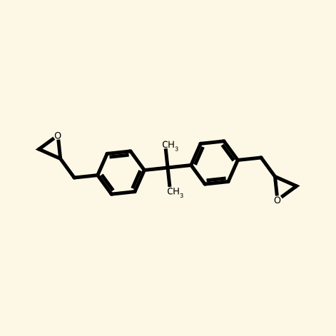 CC(C)(c1ccc(CC2CO2)cc1)c1ccc(CC2CO2)cc1